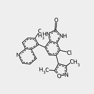 Cc1ccc2ncccc2c1-c1cc(-c2c(C)noc2C)c(Cl)c2[nH]c(=O)[nH]c12